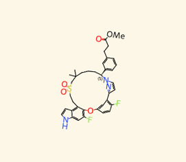 COC(=O)CCc1cccc([C@@H]2CCCC(C)(C)CS(=O)(=O)CCc3c(c(F)cc4[nH]ccc34)Oc3ccc(F)c(c3)-c3ccn2n3)c1